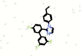 CCc1ccc(-n2ccnc2-c2ccc(F)cc2-c2cc(F)cc(F)c2)cc1